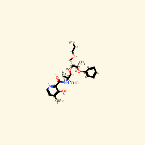 COc1ccnc(C(=O)N[C@](C)(C=O)CO[C@H](COCCC(C)C)[C@H](C)Oc2ccccc2)c1O